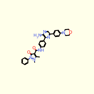 Cc1c(C(=O)Nc2ccc(-c3nc(-c4ccc(N5CCOCC5)cc4)cnc3N)cc2)c(=O)n(-c2ccccc2)n1C